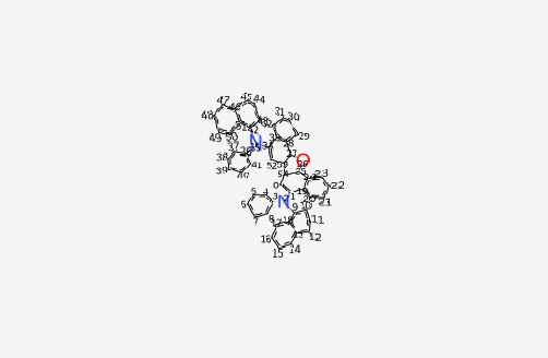 C1=C(N(c2ccccc2)c2cccc3ccccc23)c2ccccc2C2OC3c4ccccc4C(N(c4ccccc4)c4cccc5ccccc45)=CC3C12